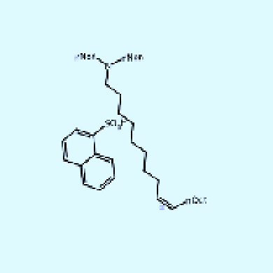 CCCCCCCC/C=C\CCCCCCCCN(CCCCCCCCC)CCCCCCCCC.O=S(=O)(O)c1cccc2ccccc12